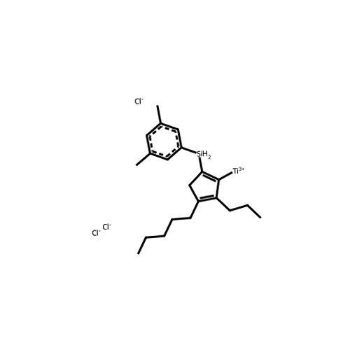 CCCCCC1=C(CCC)[C]([Ti+3])=C([SiH2]c2cc(C)cc(C)c2)C1.[Cl-].[Cl-].[Cl-]